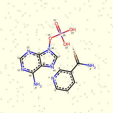 NC(=S)c1cccnc1.Nc1ncnc2c1ncn2OP(=O)(O)O